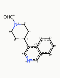 O=CN1CCC(c2cncc3ccccc23)CC1